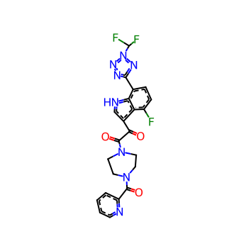 O=C(C(=O)N1CCN(C(=O)c2ccccn2)CC1)c1c[nH]c2c(-c3nnn(C(F)F)n3)ccc(F)c12